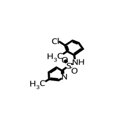 Cc1ccc(S(=O)(=O)Nc2cccc(Cl)c2C)nc1